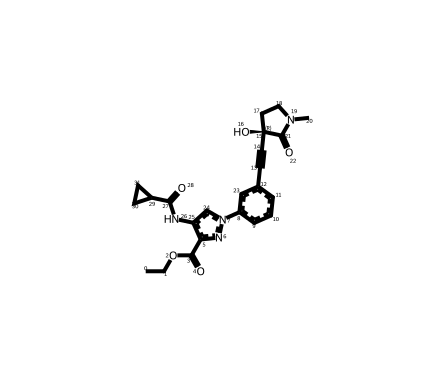 CCOC(=O)c1nn(-c2cccc(C#C[C@]3(O)CCN(C)C3=O)c2)cc1NC(=O)C1CC1